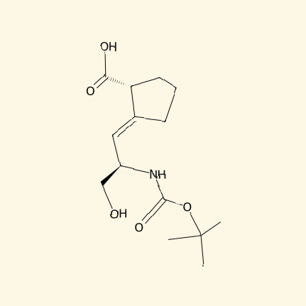 CC(C)(C)OC(=O)N[C@H](/C=C1\CCC[C@H]1C(=O)O)CO